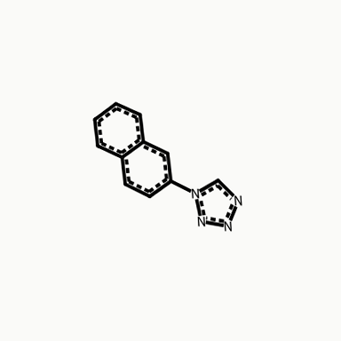 c1ccc2cc(-n3cnnn3)ccc2c1